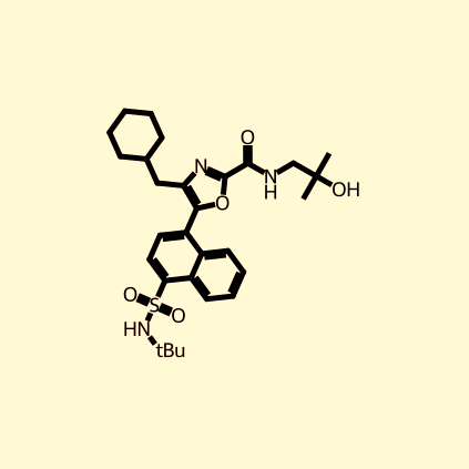 CC(C)(O)CNC(=O)c1nc(CC2CCCCC2)c(-c2ccc(S(=O)(=O)NC(C)(C)C)c3ccccc23)o1